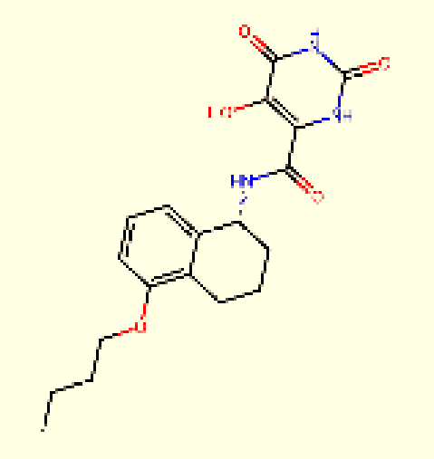 CCCCOc1cccc2c1CCC[C@H]2NC(=O)c1[nH]c(=O)[nH]c(=O)c1O